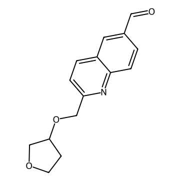 O=Cc1ccc2nc(COC3CCOC3)ccc2c1